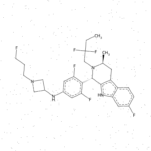 CCC(F)(F)CN1[C@@H](c2c(F)cc(NC3CN(CCCF)C3)cc2F)c2[nH]c3cc(F)ccc3c2C[C@@H]1C